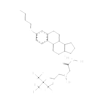 CN(CCOC(C(F)(F)F)(C(F)(F)F)C(F)(F)F)CC(=O)N(C)[C@H]1CCC2C3CCc4cc(OCCCCl)ccc4C3CC[C@@]21C